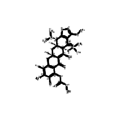 CCCCOc1noc2c1C(=O)[C@@]1(O[Si](C)(C)C(C)(C)C)C(O)=C3C(=O)c4c(c(F)c(C)c(Br)c4OC(=O)OC(C)(C)C)C[C@H]3C[C@H]1[C@@H]2N(C)C